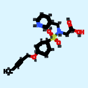 CC#CCOc1ccc(S(=O)(=O)N(CC(=O)O)Cc2cccnc2)cc1